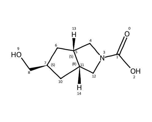 O=C(O)N1C[C@H]2C[C@H](CO)C[C@H]2C1